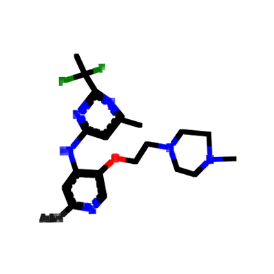 CC(=O)Nc1cc(Nc2cc(C)nc(C(C)(F)F)n2)c(OCCN2CCN(C)CC2)cn1